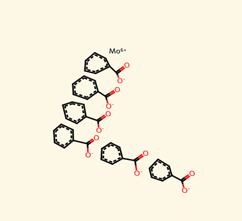 O=C([O-])c1ccccc1.O=C([O-])c1ccccc1.O=C([O-])c1ccccc1.O=C([O-])c1ccccc1.O=C([O-])c1ccccc1.O=C([O-])c1ccccc1.[Mo+6]